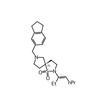 CCC/C=C(\CC)N1CC[C@]2(CCN(Cc3ccc4c(c3)CCC4)C2)S1(=O)=O